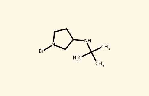 CC(C)(C)NC1CCN(Br)C1